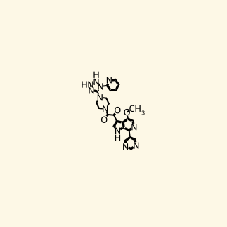 COc1cnc(-c2cncnc2)c2[nH]cc(C(=O)C(=O)N3CCN(C4=NNNN4c4ccccn4)CC3)c12